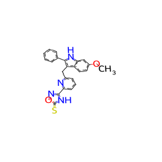 COc1ccc2c(Cc3cccc(-c4noc(=S)[nH]4)n3)c(-c3ccccc3)[nH]c2c1